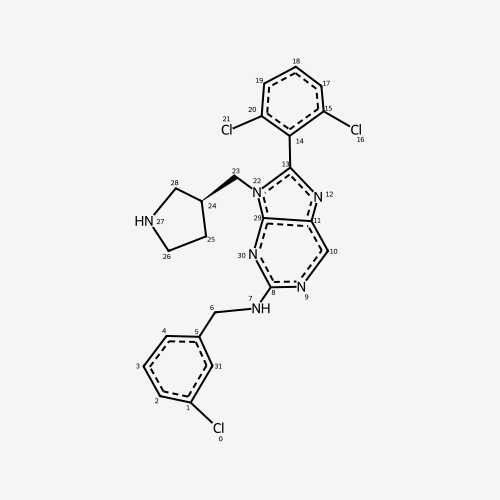 Clc1cccc(CNc2ncc3nc(-c4c(Cl)cccc4Cl)n(C[C@H]4CCNC4)c3n2)c1